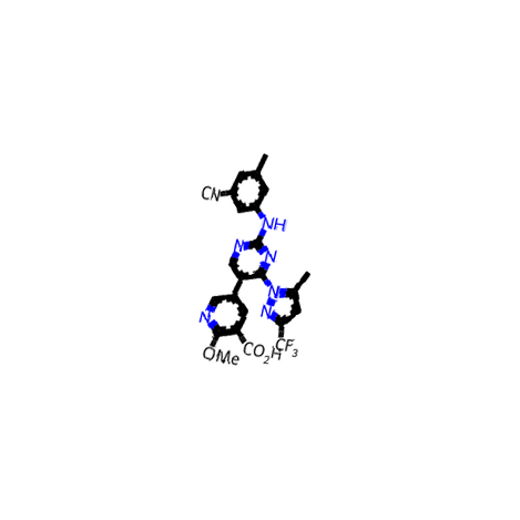 [C-]#[N+]c1cc(C)cc(Nc2ncc(-c3cnc(OC)c(C(=O)O)c3)c(-n3nc(C(F)(F)F)cc3C)n2)c1